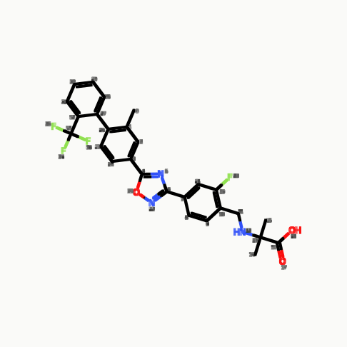 Cc1cc(-c2nc(-c3ccc(CNC(C)(C)C(=O)O)c(F)c3)no2)ccc1-c1ccccc1C(F)(F)F